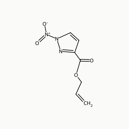 C=CCOC(=O)c1ccn([N+](=O)[O-])n1